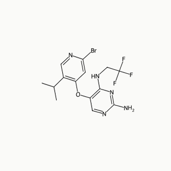 CC(C)c1cnc(Br)cc1Oc1cnc(N)nc1NCC(F)(F)F